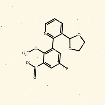 COc1c(-c2ncccc2C2OCCO2)cc(F)cc1[N+](=O)[O-]